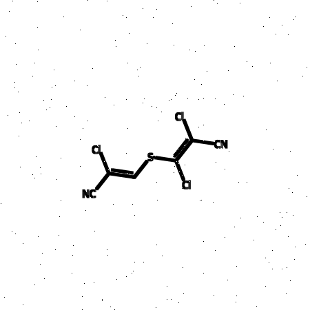 N#CC(Cl)=CSC(Cl)=C(Cl)C#N